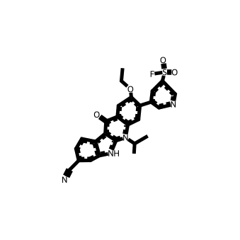 CCOc1cc2c(=O)c3c4ccc(C#N)cc4[nH]c3n(C(C)C)c2cc1-c1cncc(S(=O)(=O)F)c1